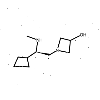 CN[C@@H](CN1CC(O)C1)C1CCC1